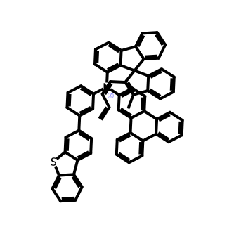 C=C/C=C\C1=C(C)c2ccccc2C12c1ccccc1-c1cccc(N(c3cccc(-c4ccc5c(c4)sc4ccccc45)c3)c3ccc4c5ccccc5c5ccccc5c4c3)c12